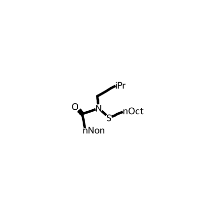 CCCCCCCCCC(=O)N(CC(C)C)SCCCCCCCC